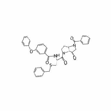 O=C(N[C@@H](CSCc1ccccc1)C(=O)N1CCC2C1C(=O)CN2C(=O)c1ccccc1)c1cccc(Oc2ccccc2)c1